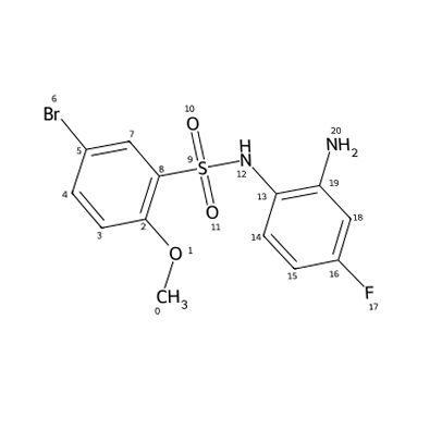 COc1ccc(Br)cc1S(=O)(=O)Nc1ccc(F)cc1N